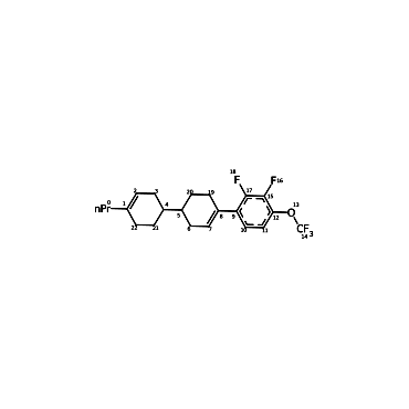 CCCC1=CCC(C2CC=C(c3ccc(OC(F)(F)F)c(F)c3F)CC2)CC1